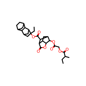 CCC(C)C(=O)OCC(=O)OC1C2CC3C1OC(=O)C3C2C(=O)OC1(CC)CC2CC1C1C3CCC(CC3)C21